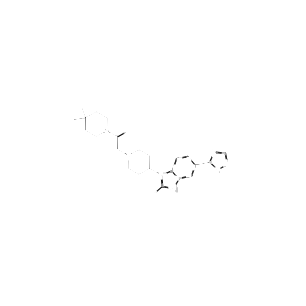 CC1(C)CCN(C(=O)CN2CCC(n3c(=O)[nH]c4cc(-c5ncon5)ccc43)CC2)CC1